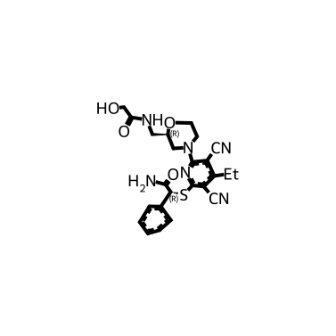 CCc1c(C#N)c(S[C@@H](C(N)=O)c2ccccc2)nc(N2CCO[C@H](CNC(=O)CO)C2)c1C#N